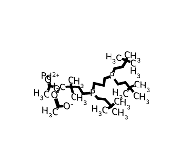 CC(=O)[O-].CC(=O)[O-].CC(C)(C)CCP(CCCP(CCC(C)(C)C)CCC(C)(C)C)CCC(C)(C)C.[Pd+2]